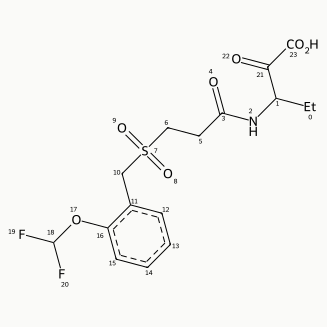 CCC(NC(=O)CCS(=O)(=O)Cc1ccccc1OC(F)F)C(=O)C(=O)O